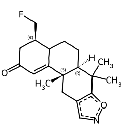 CC1(C)c2oncc2C[C@]2(C)C3=CC(=O)C[C@@H](CF)C3CC[C@@H]12